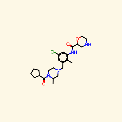 Cc1c(CN2CCN(C(=O)C3CCCC3)C(C)C2)cc(Cl)cc1NC(=O)C1CNCCO1